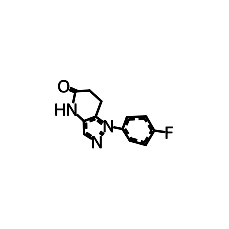 O=C1CCc2c(cnn2-c2ccc(F)cc2)N1